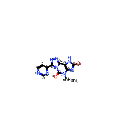 CCCCCn1c(=O)n2c(-c3ccncn3)nnc2c2[nH]c(Br)nc21